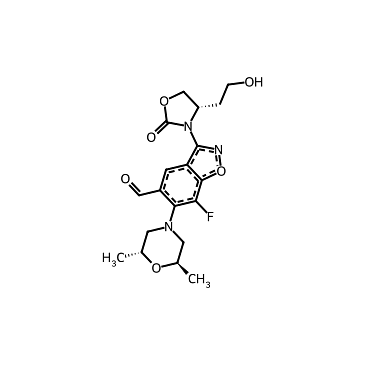 C[C@@H]1CN(c2c(C=O)cc3c(N4C(=O)OC[C@@H]4CCO)noc3c2F)C[C@@H](C)O1